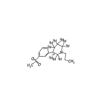 [2H]C1([2H])N(CCC)C([2H])([2H])[C@@]([2H])(c2cccc(S(C)(=O)=O)c2)C([2H])([2H])C1([2H])[2H]